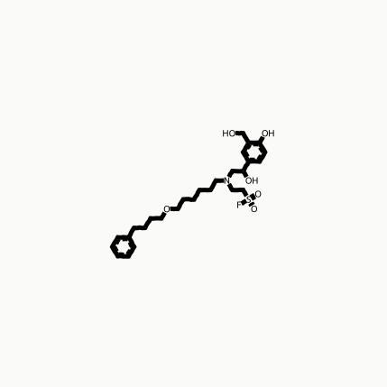 O=S(=O)(F)CCN(CCCCCCOCCCCc1ccccc1)CC(O)c1ccc(O)c(CO)c1